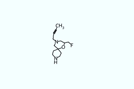 CC#CCN1CC(CF)OC2(CCNCC2)C1